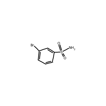 NS(=O)(=O)c1[c]ccc(Br)c1